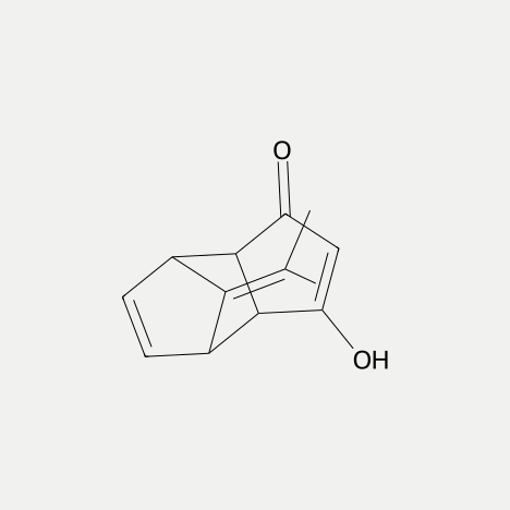 CC(C)=C1C2C=CC1C1C(O)=CC(=O)C21